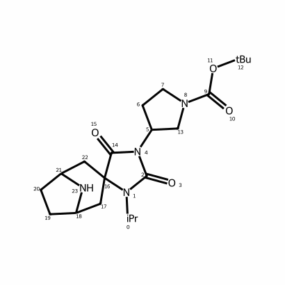 CC(C)N1C(=O)N(C2CCN(C(=O)OC(C)(C)C)C2)C(=O)C12CC1CCC(C2)N1